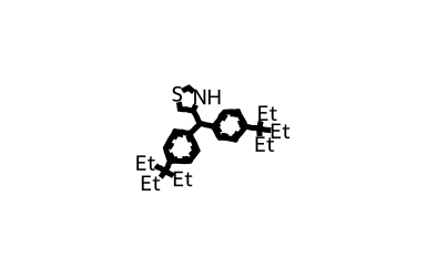 CCC(CC)(CC)c1ccc(C(c2ccc(C(CC)(CC)CC)cc2)C2CSCN2)cc1